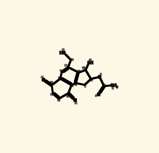 NC(=O)OC1Cc2c3c(cc(CO)c2C1O)C(=O)C=CC3=O